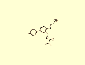 C=C(C)C(=O)OCc1cc(-c2ccc(C)cc2)ccc1OCCO